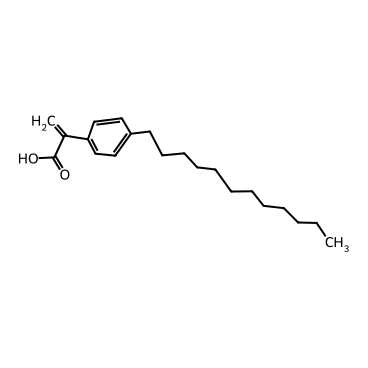 C=C(C(=O)O)c1ccc(CCCCCCCCCCCC)cc1